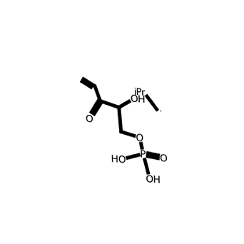 C=CC(=O)C(O)COP(=O)(O)O.[CH2]C(C)C